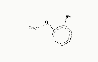 CC(C)c1ccccc1O[C]=O